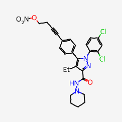 CCc1c(C(=O)NN2CCCCC2)nn(-c2ccc(Cl)cc2Cl)c1-c1ccc(C#CCCO[N+](=O)[O-])cc1